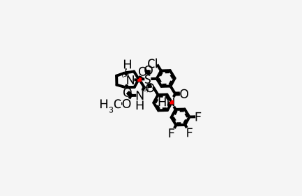 COC(=O)N[C@@H](Cc1ccccc1)C(=O)N1C2CC[C@H]1CC(S(=O)(=O)c1cc(C(=O)Nc3cc(F)c(F)c(F)c3)ccc1Cl)C2